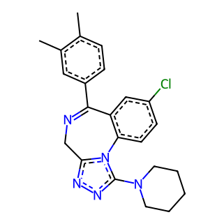 Cc1ccc(C2=NCc3nnc(N4CCCCC4)n3-c3ccc(Cl)cc32)cc1C